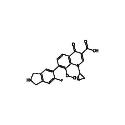 COc1c(-c2cc3c(cc2F)CNC3)ccc2c(=O)c(C(=O)O)cn(C3CC3)c12